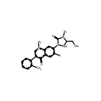 CCN1C(=O)N(c2cc3c(cc2F)c(=O)c(-c2ccccc2C)cn3C(C)C)NC1CO